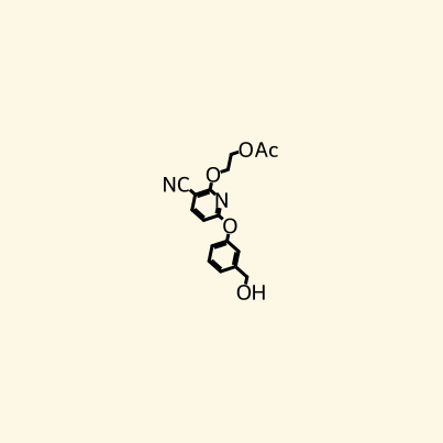 CC(=O)OCCOc1nc(Oc2cccc(CO)c2)ccc1C#N